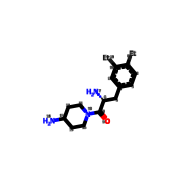 CCc1ccc(C[C@@H](N)C(=O)N2CCC(N)CC2)cc1CC